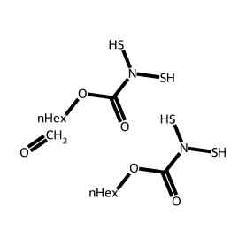 C=O.CCCCCCOC(=O)N(S)S.CCCCCCOC(=O)N(S)S